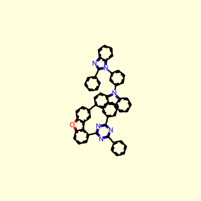 c1ccc(-c2nc(-c3ccccc3)nc(-c3cccc4oc5ccc(-c6ccc7c(c6)c6ccccc6n7-c6cccc(-n7c(-c8ccccc8)nc8ccccc87)c6)cc5c34)n2)cc1